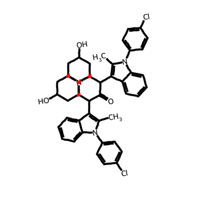 Cc1c(C(CN2CCC(O)CC2)C(=O)C(CN2CCC(O)CC2)c2c(C)n(-c3ccc(Cl)cc3)c3ccccc23)c2ccccc2n1-c1ccc(Cl)cc1